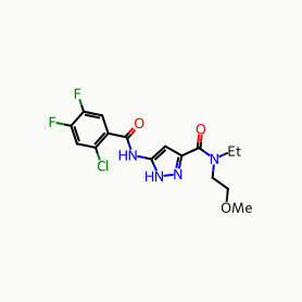 CCN(CCOC)C(=O)c1cc(NC(=O)c2cc(F)c(F)cc2Cl)[nH]n1